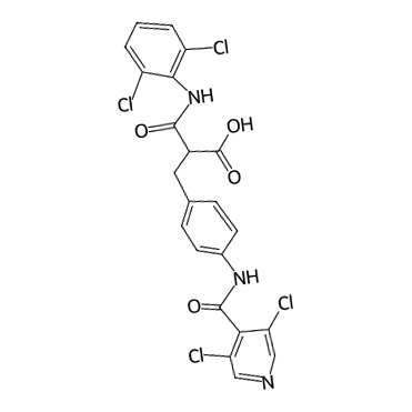 O=C(Nc1ccc(CC(C(=O)O)C(=O)Nc2c(Cl)cccc2Cl)cc1)c1c(Cl)cncc1Cl